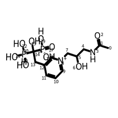 CC(=O)NCC(O)C[n+]1cccc(CC(O)(P(=O)(O)O)[PH](O)(O)O)c1